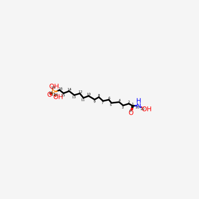 O=C(CCCCCCCCCCCCCCCP(=O)(O)O)NO